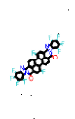 O=c1c2cc(F)c3c4ccc5c(=O)n6c(nc7c(F)c(F)c(F)c(F)c76)c6cc(F)c(c7ccc(c2c73)c2nc3c(F)c(F)c(F)c(F)c3n12)c4c56